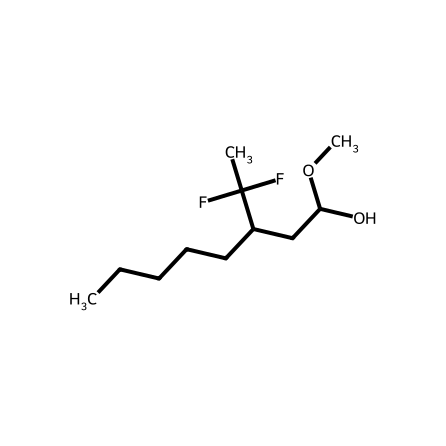 CCCCCC(CC(O)OC)C(C)(F)F